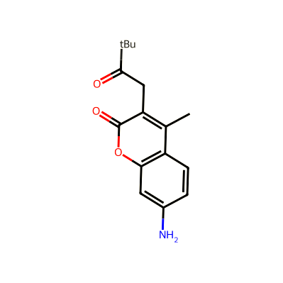 Cc1c(CC(=O)C(C)(C)C)c(=O)oc2cc(N)ccc12